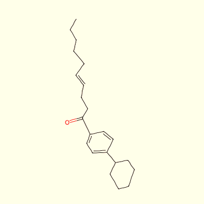 CCCCC/C=C/CCC(=O)c1ccc(C2CCCCC2)cc1